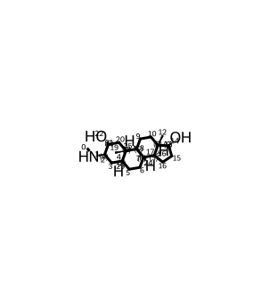 CN[C@@H]1C[C@@H]2CC[C@@H]3[C@H](CC[C@]4(C)[C@@H](O)CC[C@@H]34)[C@@]2(C)C[C@@H]1O